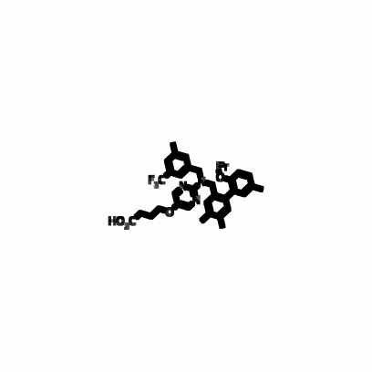 Cc1cc(CN(Cc2cc(C)c(C)cc2-c2cc(C)ccc2OC(C)C)c2ncc(OCCCC(=O)O)cn2)cc(C(F)(F)F)c1